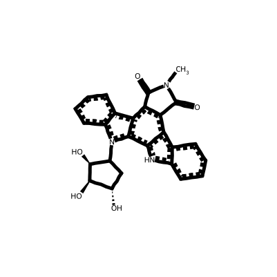 CN1C(=O)c2c(c3c4ccccc4n(C4C[C@H](O)[C@@H](O)[C@H]4O)c3c3[nH]c4ccccc4c23)C1=O